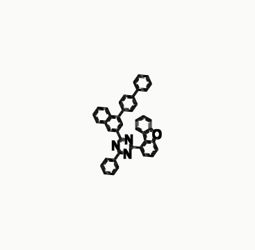 c1ccc(-c2ccc(-c3cc(-c4nc(-c5ccccc5)nc(-c5cccc6oc7ccccc7c56)n4)cc4ccccc34)cc2)cc1